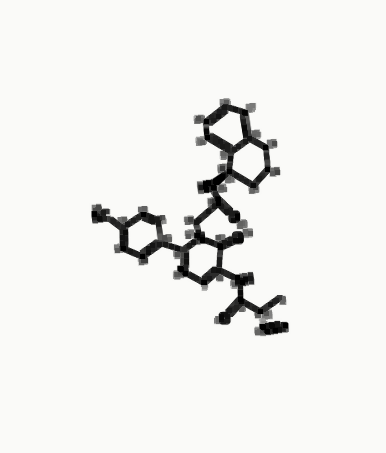 CN[C@@H](C)C(=O)Nc1cnc(-c2ccc(C#N)cc2)n(CC(=O)N[C@@H]2CCCc3ccccc32)c1=O